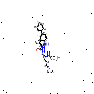 Cc1c(C(=O)NCC(CCCNC(=O)O)NC(=O)O)[nH]c2ccc(-c3ccc(F)cc3)cc12